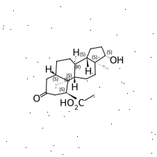 CC(=O)O.C[C@H]1CC(=O)C[C@@H]2CC[C@H]3[C@@H]4CC[C@H](O)[C@@]4(C)CC[C@@H]3[C@]21C